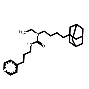 CCN(CCCCC12CC3CC(CC(C3)C1)C2)C(=O)NCCCc1ccncc1